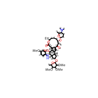 CC[C@H]1CCC[C@H](O[C@H]2CC[C@H](N(C)C)C(C)O2)[C@@H](C)C(=O)C2=C[C@H]3[C@@H]4C[C@H](O[C@@H]5OC(C)[C@H](OC)C(OC)C5OC)C[C@H]4[C@H](Nc4ccc(OC)cc4)[C@@H](O)[C@H]3[C@@H]2CC(=O)O1